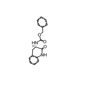 O=C(N[C@H]1Cc2ccccc2NC1=O)OCc1ccccc1